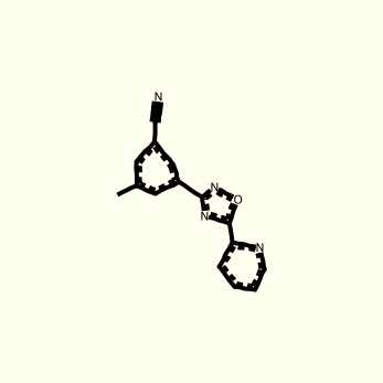 Cc1cc(C#N)cc(-c2noc(-c3ccccn3)n2)c1